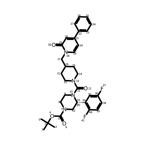 CC(C)(C)OC(=O)N1CCN(C(=O)N2CCC(Cn3ccc(-c4ccccc4)cc3=O)CC2)[C@H](c2cc(F)ccc2F)C1